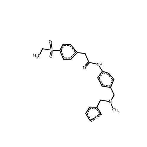 CCS(=O)(=O)c1ccc(CC(=O)Nc2ccc(CN(C)Cc3ccccc3)cc2)cc1